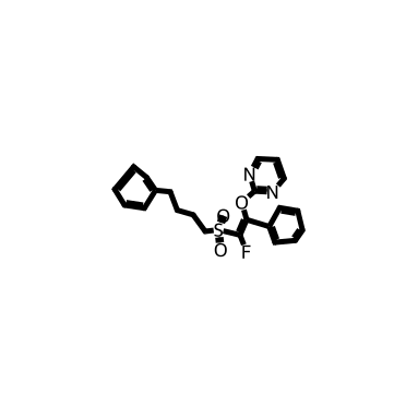 O=S(=O)(CCCCc1ccccc1)/C(F)=C(\Oc1ncccn1)c1ccccc1